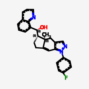 C[C@]12Cc3cnn(-c4ccc(F)cc4)c3C=C1CC[C@@H]2[C@@H](O)c1cccc2cccnc12